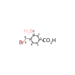 Bc1cc(C(=O)O)ccc1CBr